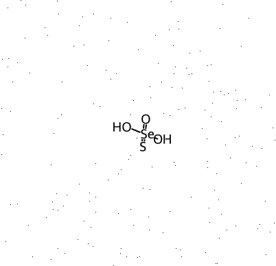 O=[Se](O)(O)=S